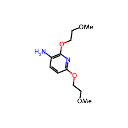 COCCOc1ccc(N)c(OCCOC)n1